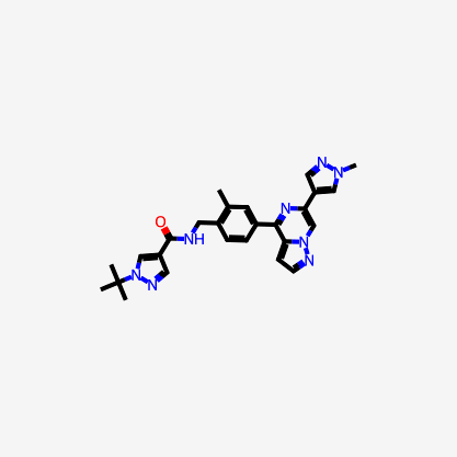 Cc1cc(-c2nc(-c3cnn(C)c3)cn3nccc23)ccc1CNC(=O)c1cnn(C(C)(C)C)c1